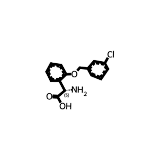 N[C@H](C(=O)O)c1ccccc1OCc1cccc(Cl)c1